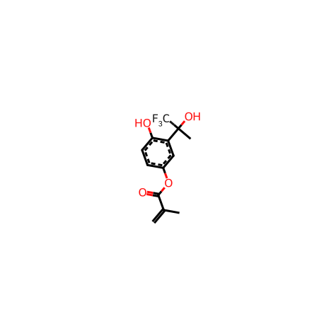 C=C(C)C(=O)Oc1ccc(O)c(C(C)(O)C(F)(F)F)c1